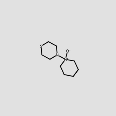 [O-][N+]1(N2CCSCC2)CCCCC1